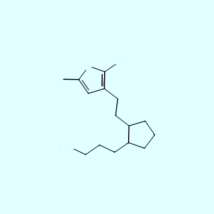 CCCC[C]1CCCC1CCc1cc(I)sc1Br